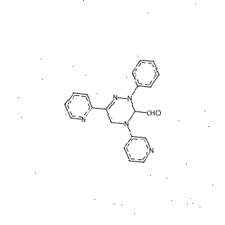 O=CC1N(c2cccnc2)CC(c2ccccn2)=NN1c1ccccc1